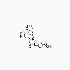 COc1ccc(Cn2c(CCc3ccccn3)cc(=O)n(Cc3ccc(OC)cc3)c2=O)cc1